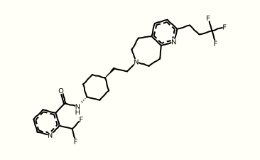 O=C(N[C@H]1CC[C@H](CCN2CCc3ccc(CCC(F)(F)F)nc3CC2)CC1)c1cccnc1C(F)F